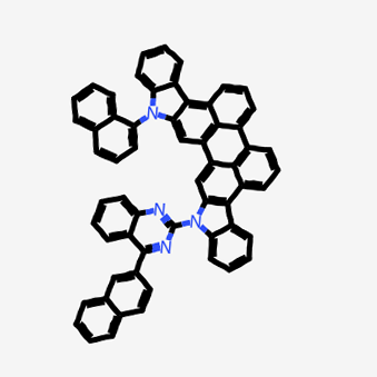 c1ccc2cc(-c3nc(-n4c5ccccc5c5c6cccc7c8cccc9c8c(cc8c9c9ccccc9n8-c8cccc9ccccc89)c(cc54)c76)nc4ccccc34)ccc2c1